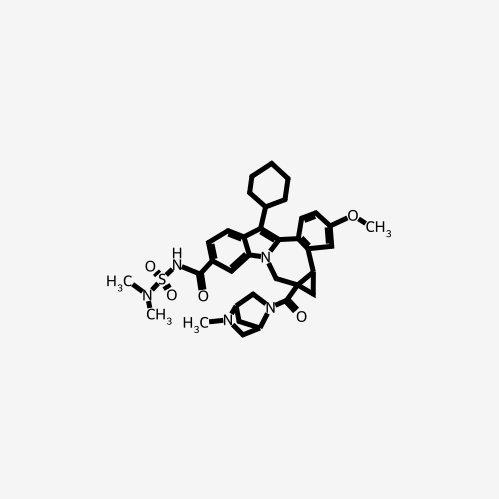 COc1ccc2c(c1)C1CC1(C(=O)N1CC3CC1CN3C)Cn1c-2c(C2CCCCC2)c2ccc(C(=O)NS(=O)(=O)N(C)C)cc21